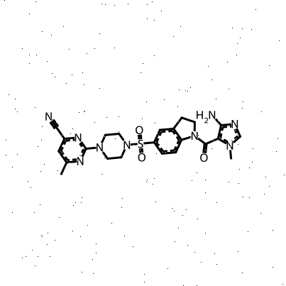 Cc1cc(C#N)nc(N2CCN(S(=O)(=O)c3ccc4c(c3)CCN4C(=O)c3c(N)ncn3C)CC2)n1